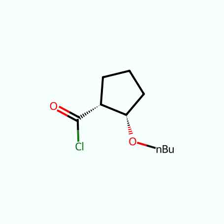 CCCCO[C@H]1CCC[C@H]1C(=O)Cl